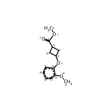 COC(=O)C1CC(Oc2ccccc2OC)C1